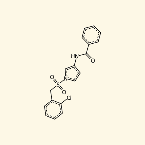 O=C(Nc1ccn(S(=O)(=O)Cc2ccccc2Cl)c1)c1ccccc1